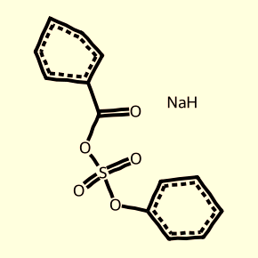 O=C(OS(=O)(=O)Oc1ccccc1)c1ccccc1.[NaH]